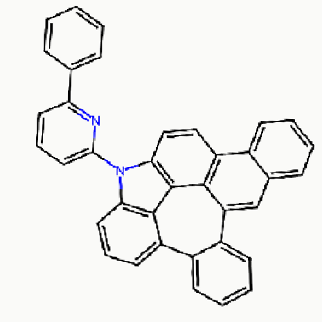 c1ccc(-c2cccc(-n3c4cccc5c4c4c6c(cc7ccccc7c6ccc43)-c3ccccc3-5)n2)cc1